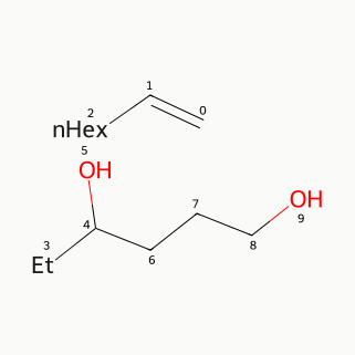 C=CCCCCCC.CCC(O)CCCO